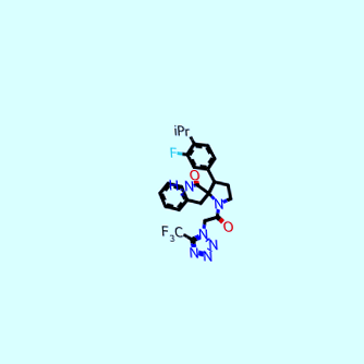 CC(C)c1ccc(C2CCN(C(=O)Cn3nnnc3C(F)(F)F)C2(Cc2ccccc2)C(N)=O)cc1F